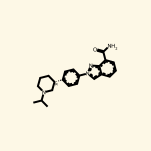 CC(C)N1CCC[C@H](c2ccc(-n3cc4cccc(C(N)=O)c4n3)cc2)C1